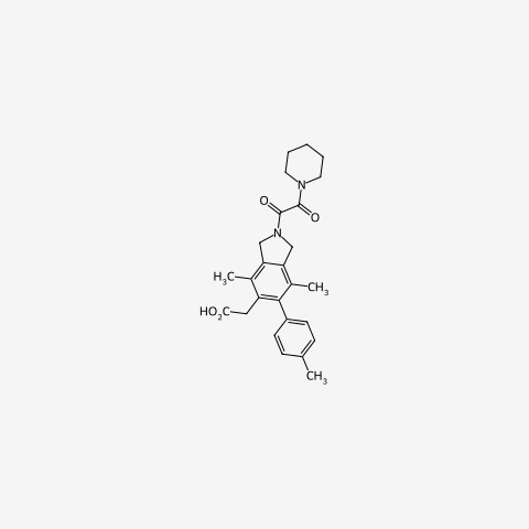 Cc1ccc(-c2c(C)c3c(c(C)c2CC(=O)O)CN(C(=O)C(=O)N2CCCCC2)C3)cc1